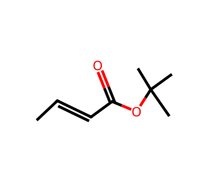 C/C=C/C(=O)OC(C)(C)C